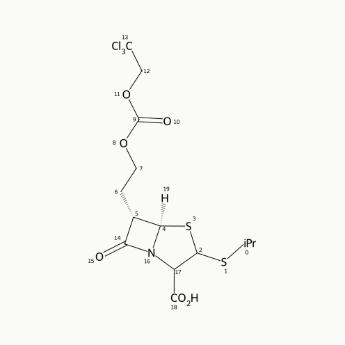 CC(C)SC1S[C@@H]2[C@@H](CCOC(=O)OCC(Cl)(Cl)Cl)C(=O)N2C1C(=O)O